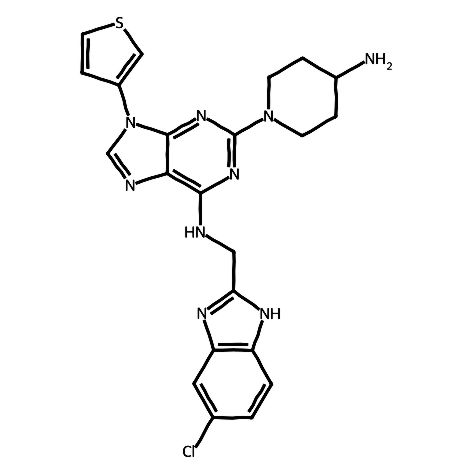 NC1CCN(c2nc(NCc3nc4cc(Cl)ccc4[nH]3)c3ncn(-c4ccsc4)c3n2)CC1